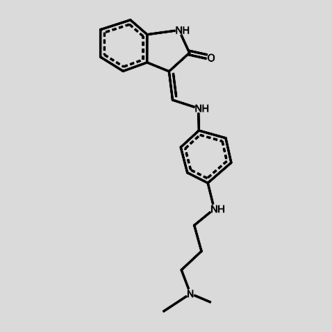 CN(C)CCCNc1ccc(N/C=C2\C(=O)Nc3ccccc32)cc1